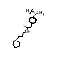 CN(C)c1ccc(CC(=O)NCCCN2CCCCC2)cc1